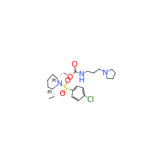 CC[C@@H]1CCC[C@H](COC(=O)NCCCN2CCCC2)N1S(=O)(=O)c1ccc(Cl)cc1